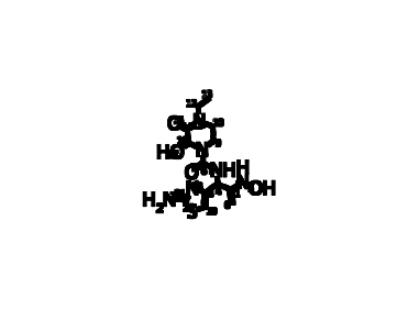 C=C(NO)C(NC(=O)N1CCN(CC)C(=O)C1O)c1csc(N)n1